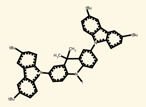 CC(C)(C)c1ccc2c(c1)c1cc(C(C)(C)C)ccc1n2-c1ccc2c(c1)C(C)(C)c1cc(-n3c4ccc(C(C)(C)C)cc4c4cc(C(C)(C)C)ccc43)ccc1N2I